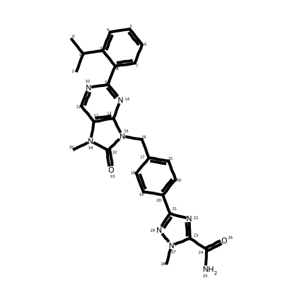 CC(C)c1ccccc1-c1ncc2c(n1)n(Cc1ccc(-c3nc(C(N)=O)n(C)n3)cc1)c(=O)n2C